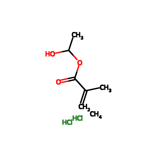 C.C=C(C)C(=O)OC(C)O.Cl.Cl